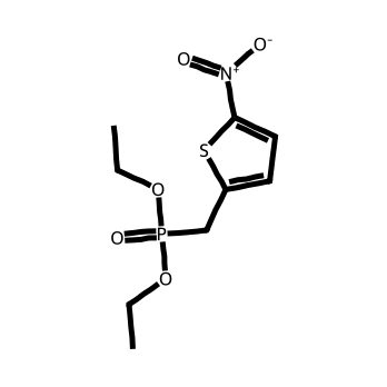 CCOP(=O)(Cc1ccc([N+](=O)[O-])s1)OCC